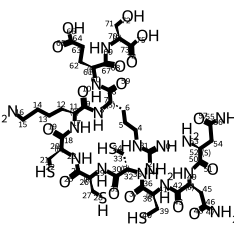 N=C(N)NCCC[C@H](NC(=O)[C@H](CCCCN)NC(=O)[C@H](CS)NC(=O)[C@H](CS)NC(=O)[C@H](CS)NC(=O)[C@H](CS)NC(=O)[C@H](CC(N)=O)NC(=O)[C@@H](N)CC(N)=O)C(=O)N[C@@H](CCC(=O)O)C(=O)N[C@@H](CO)C(=O)O